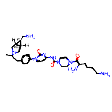 CC(Cc1ccc(-n2ccc(NC(=O)N3CCN(C(=O)C(N)CCCCN)CC3)nc2=O)cc1)N1C[C@@H]2[C@@H](CN)[C@@H]2C1